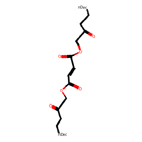 CCCCCCCCCCCCC(=O)COC(=O)/C=C/C(=O)OCC(=O)CCCCCCCCCCCC